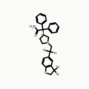 [2H]C([2H])(CN1CC[C@@H](C(C(N)=O)(c2ccccc2)c2ccccc2)C1)c1ccc2c(c1)C([2H])([2H])CO2